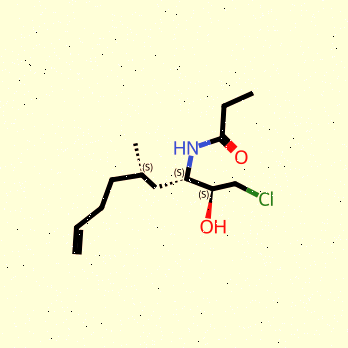 C=CCC[C@H](C)C[C@H](NC(=O)CC)[C@H](O)CCl